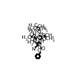 CC(C)(C)OC(=O)N1[C@H](CO[Si](C)(C)C(C)(C)C)[C@H]2OC(C)(C)O[C@H]2[C@@H]1c1cn(C(=O)OCc2ccccc2)c(C#N)c1N